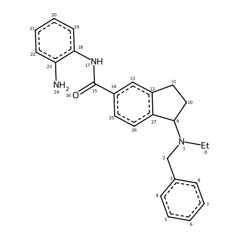 CCN(Cc1ccccc1)C1CCc2cc(C(=O)Nc3ccccc3N)ccc21